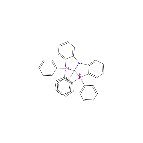 CC12N(c3ccccc3[PH]1(c1ccccc1)c1ccccc1)c1ccccc1[PH]2(c1ccccc1)c1ccccc1